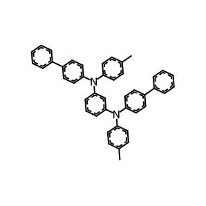 Cc1ccc(N(c2ccc(-c3ccccc3)cc2)c2cccc(N(c3ccc(C)cc3)c3ccc(-c4ccccc4)cc3)c2)cc1